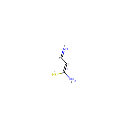 N=C/C=C(/N)S